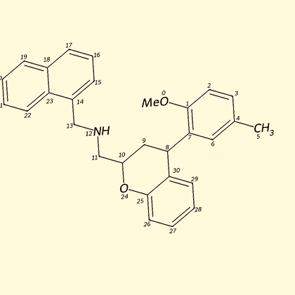 COc1ccc(C)cc1C1CC(CNCc2cccc3ccccc23)Oc2ccccc21